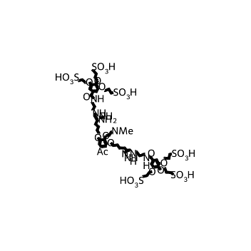 CNCCOc1c(OCCCC/C(=C/NCCCNC(=O)c2cc(OCCCS(=O)(=O)O)c(OCCCS(=O)(=O)O)c(OCCCS(=O)(=O)O)c2)N=N)cc(C(C)=O)cc1OCCCC/C(=C/NCCCNC(=O)c1cc(OCCCS(=O)(=O)O)c(OCCCS(=O)(=O)O)c(OCCCS(=O)(=O)O)c1)NN